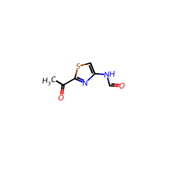 CC(=O)c1nc(NC=O)cs1